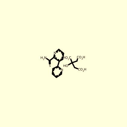 NC(=S)c1ncccc1-c1ccccn1.O=C(O)CC(O)(CC(=O)O)C(=O)O